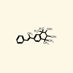 CC(=O)OC1C(OC(C)=O)C(C)(C)c2cc(C(C)=Cc3ccccc3)ccc2C1(C)C